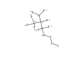 [CH2]CCOC(F)(F)C(F)(C(F)F)C(F)(F)F